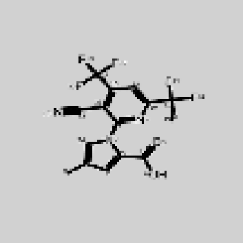 Cc1cc(C(=O)O)n(-c2nc(C(F)(F)F)cc(C(F)(F)F)c2C#N)c1